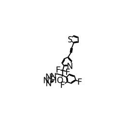 OC(Cn1cnnn1)(c1ccc(F)cc1F)C(F)(F)c1ccc(C#Cc2cccs2)cn1